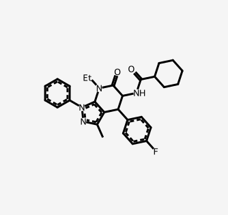 CCN1C(=O)C(NC(=O)C2CCCCC2)C(c2ccc(F)cc2)c2c(C)nn(-c3ccccc3)c21